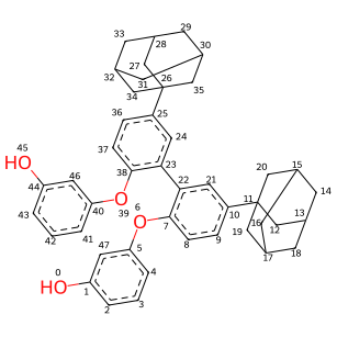 Oc1cccc(Oc2ccc(C34CC5CC(CC(C5)C3)C4)cc2-c2cc(C34CC5CC(CC(C5)C3)C4)ccc2Oc2cccc(O)c2)c1